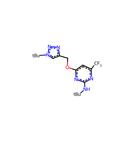 CC(C)(C)Nc1nc(OCc2cn(C(C)(C)C)nn2)cc(C(F)(F)F)n1